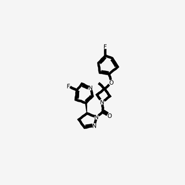 CC1(Oc2ccc(F)cc2)CN(C(=O)N2N=CC[C@H]2c2cncc(F)c2)C1